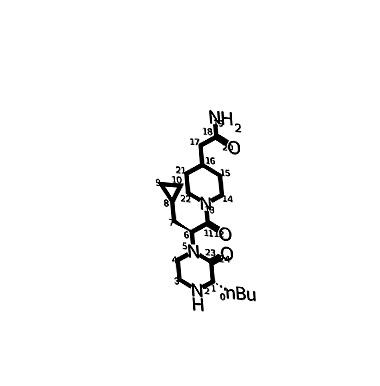 CCCC[C@@H]1NCCN([C@@H](CC2CC2)C(=O)N2CCC(CC(N)=O)CC2)C1=O